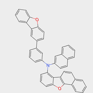 c1cc(-c2ccc3oc4ccccc4c3c2)cc(N(c2ccc3ccccc3c2)c2cccc3oc4c5ccccc5ccc4c23)c1